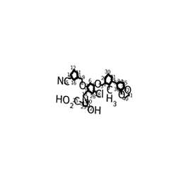 Cc1c(COc2cc(OCc3cccc(C#N)c3)c(CN3C[C@H](O)C[C@H]3C(=O)O)cc2Cl)cccc1-c1ccc2c(c1)OCCO2